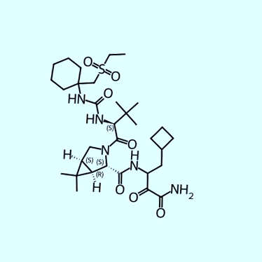 CCS(=O)(=O)CC1(NC(=O)N[C@H](C(=O)N2C[C@H]3[C@@H]([C@H]2C(=O)NC(CC2CCC2)C(=O)C(N)=O)C3(C)C)C(C)(C)C)CCCCC1